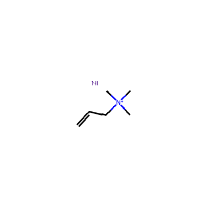 C=CC[N+](C)(C)C.I